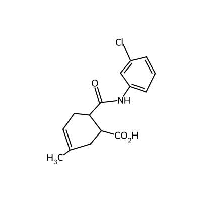 CC1=CCC(C(=O)Nc2cccc(Cl)c2)C(C(=O)O)C1